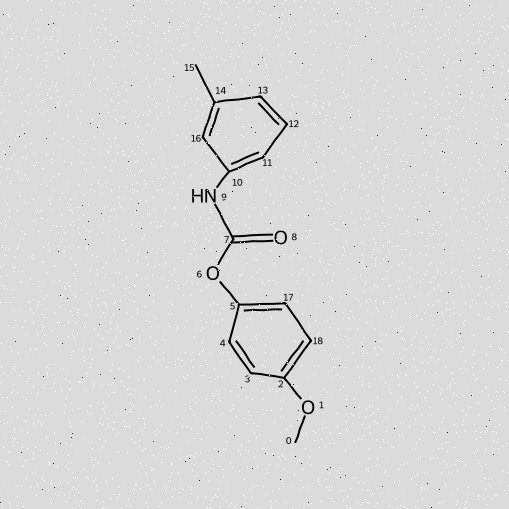 COc1ccc(OC(=O)Nc2cccc(C)c2)cc1